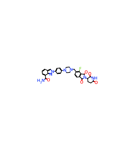 NC(=O)c1cccc2cn(-c3ccc(N4CCN(Cc5ccc6c(c5F)C(=O)N(C5CCC(=O)NC5=O)C6=O)CC4)cc3)nc12